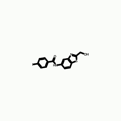 O=C(Nc1ccc2sc(CO)nc2c1)c1ccc(I)cc1